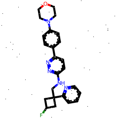 FC1CC(CNc2ccc(-c3ccc(N4CCOCC4)cc3)nn2)(c2ccccn2)C1